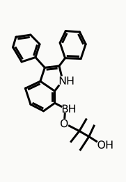 CC(C)(O)C(C)(C)OBc1cccc2c(-c3ccccc3)c(-c3ccccc3)[nH]c12